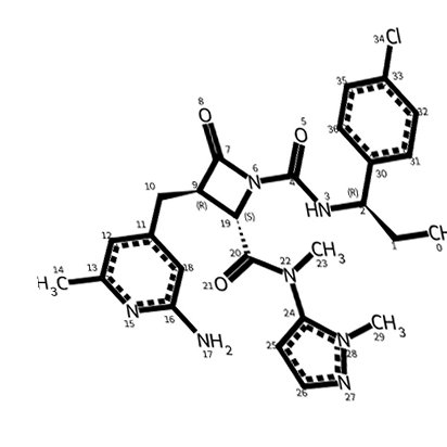 CC[C@@H](NC(=O)N1C(=O)[C@H](Cc2cc(C)nc(N)c2)[C@H]1C(=O)N(C)c1ccnn1C)c1ccc(Cl)cc1